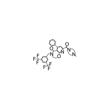 CN1CCN(C(=O)c2cc(-c3ccccc3)c3c(n2)OCCN(Cc2cc(C(F)(F)F)cc(C(F)(F)F)c2)C3=O)CC1